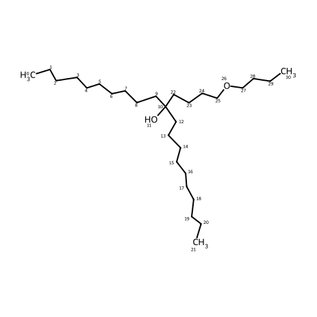 CCCCCCCCCCC(O)(CCCCCCCCCC)CCCCOCCCC